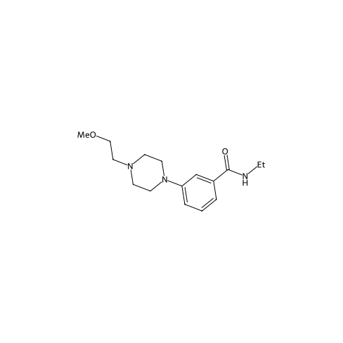 CCNC(=O)c1cccc(N2CCN(CCOC)CC2)c1